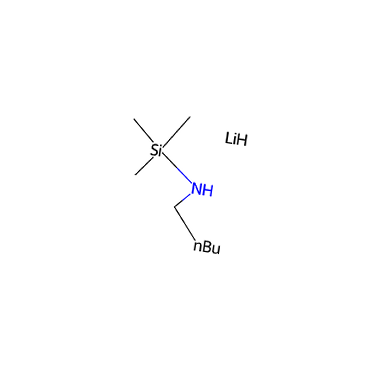 CCCCCN[Si](C)(C)C.[LiH]